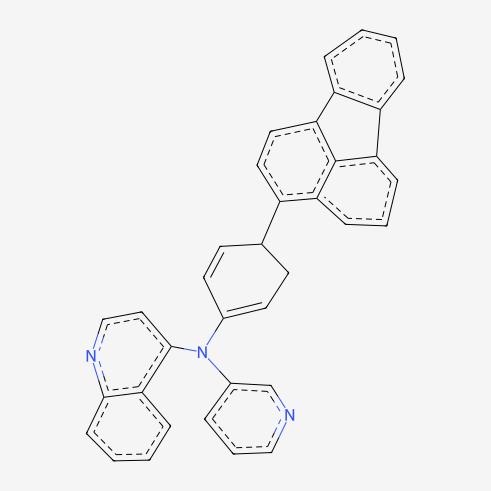 C1=CC(c2ccc3c4c(cccc24)-c2ccccc2-3)CC=C1N(c1cccnc1)c1ccnc2ccccc12